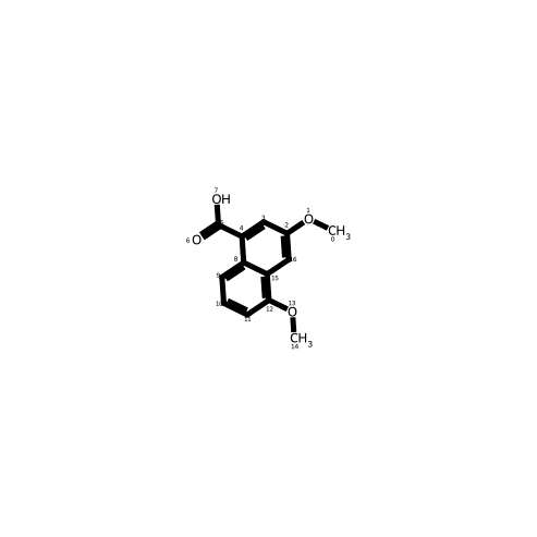 COc1cc(C(=O)O)c2cccc(OC)c2c1